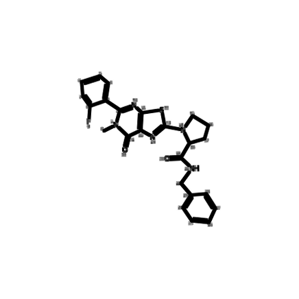 Cn1c(-c2ccccc2F)nc2sc(N3CCCC3C(=O)NCc3ccccc3)nc2c1=O